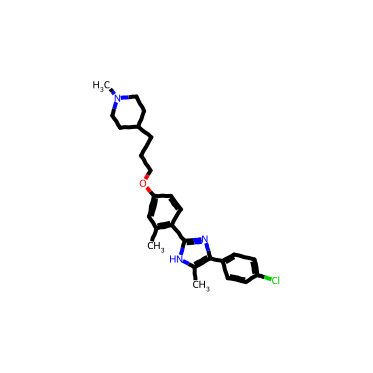 Cc1cc(OCCCC2CCN(C)CC2)ccc1-c1nc(-c2ccc(Cl)cc2)c(C)[nH]1